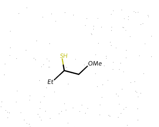 CCC(S)COC